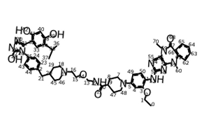 CCOc1cc(N2CCC(C(=O)NCOCCN3CCC(Cc4ccc(-n5c(O)nnc5-c5cc(C(C)C)c(O)cc5O)cc4)CC3)CC2)ccc1Nc1ncc2c(n1)N(C)c1ccccc1C(=O)N2C